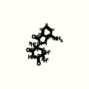 [2H]C1([2H])CC([2H])(N2Cc3c(N)cccc3C2=O)C(=O)NC1=O